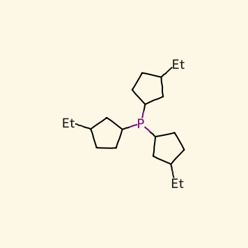 CCC1CCC(P(C2CCC(CC)C2)C2CCC(CC)C2)C1